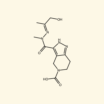 C/C(CO)=N\N(C)C(=O)c1[nH]nc2c1CN(C(=O)O)CC2